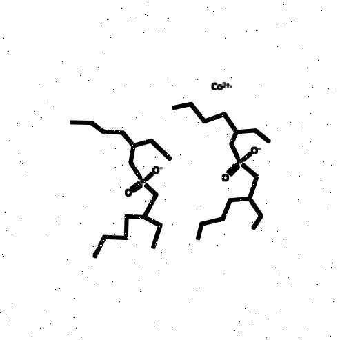 CCCCC(CC)CP(=O)([O-])CC(CC)CCCC.CCCCC(CC)CP(=O)([O-])CC(CC)CCCC.[Co+2]